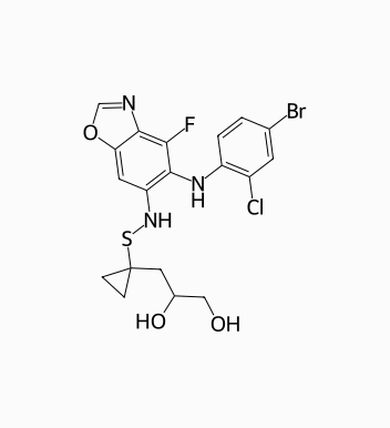 OCC(O)CC1(SNc2cc3ocnc3c(F)c2Nc2ccc(Br)cc2Cl)CC1